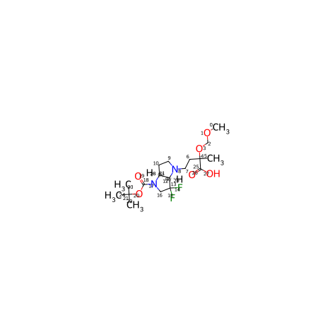 COCOC(C)(CCN1CC[C@H]2[C@@H]1C(F)(F)CN2C(=O)OC(C)(C)C)C(=O)O